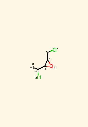 CCC(Cl)C1OC1CCl